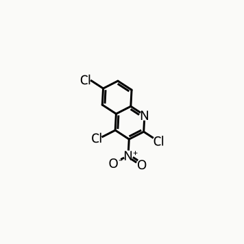 O=[N+]([O-])c1c(Cl)nc2ccc(Cl)cc2c1Cl